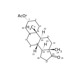 CC(=O)O[C@@H]1CC[C@@]2(C)C(CC[C@@H]3[C@@H]2CC[C@]2(C)C(=O)CC[C@@H]32)C1